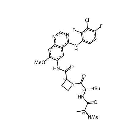 CN[C@@H](C)C(=O)N[C@H](C(=O)N1CC[C@H]1C(=O)Nc1cc2c(Nc3ccc(F)c(Cl)c3F)ncnc2cc1OC)C(C)(C)C